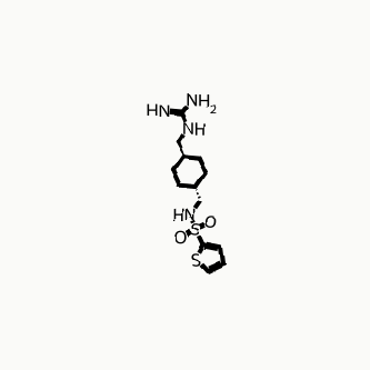 N=C(N)NC[C@H]1CC[C@H](CNS(=O)(=O)c2cccs2)CC1